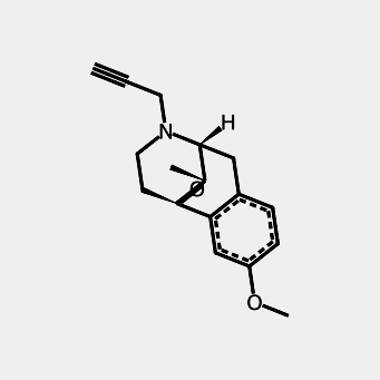 C#CCN1CC[C@]23CCCO[C@@]2(C)[C@H]1Cc1ccc(OC)cc13